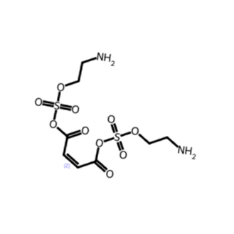 NCCOS(=O)(=O)OC(=O)/C=C\C(=O)OS(=O)(=O)OCCN